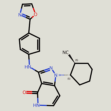 N#C[C@H]1CCCC[C@@H]1n1nc(Nc2ccc(-c3ncco3)cc2)c2c(=O)[nH]ccc21